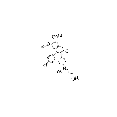 COc1cc2c(cc1OC(C)C)C(c1ccc(Cl)cc1)N([C@H]1CC[C@H](N(CCCO)C(C)=O)CC1)C(=O)C2